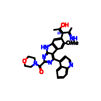 COc1cc2c(cc1/C(C(C)=N)=C(\C)O)[nH]c1nc(C(=O)N3CCOCC3)nc(-c3ccnc4ccccc34)c12